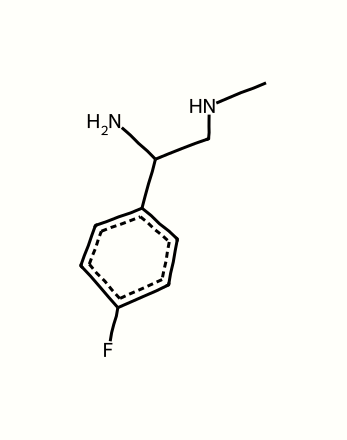 CNCC(N)c1ccc(F)cc1